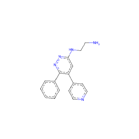 NCCNc1cc(-c2ccncc2)c(-c2ccccc2)nn1